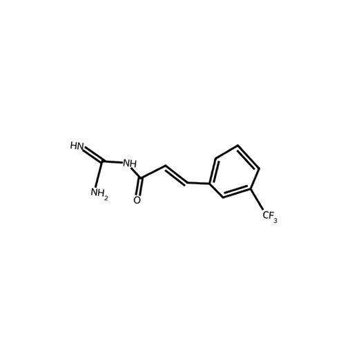 N=C(N)NC(=O)C=Cc1cccc(C(F)(F)F)c1